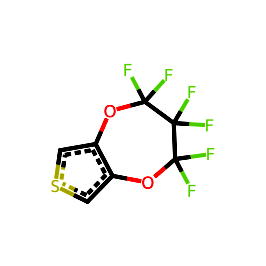 FC1(F)Oc2cscc2OC(F)(F)C1(F)F